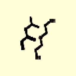 C=CC(=O)OC(C)C.OCCOCCO